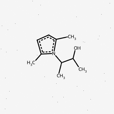 Cc1ccc(C)n1C(C)C(C)O